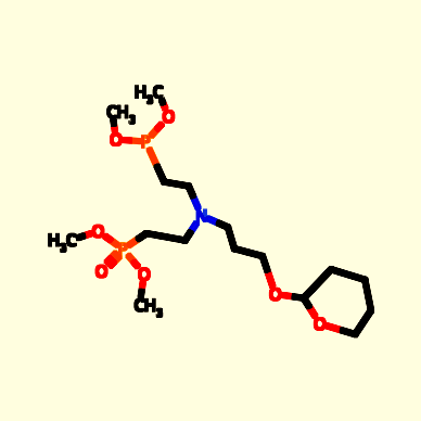 COP(CCN(CCCOC1CCCCO1)CCP(=O)(OC)OC)OC